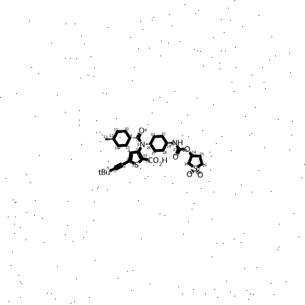 CC(C)(C)C#Cc1cc(N(C(=O)[C@H]2CC[C@H](C)CC2)[C@H]2CC[C@H](NC(=O)OC3CCS(=O)(=O)C3)CC2)c(C(=O)O)s1